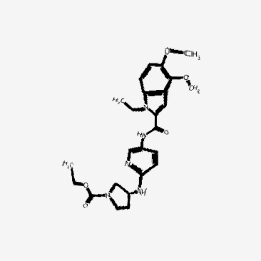 CCOC(=O)N1CC[C@H](Nc2ccc(NC(=O)c3cc4c(OC)c(OC)ccc4n3CC)cn2)C1